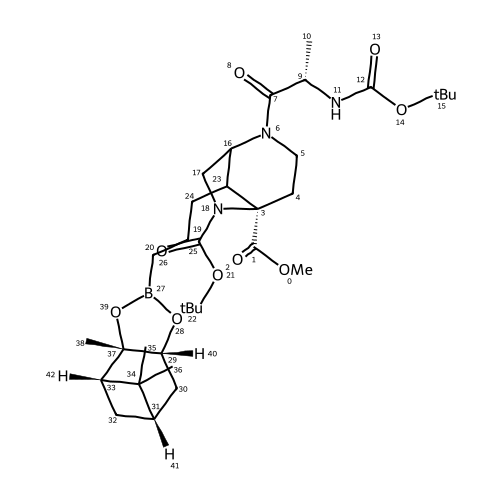 COC(=O)[C@]12CCN(C(=O)[C@H](C)NC(=O)OC(C)(C)C)C(CN1C(=O)OC(C)(C)C)C2CCCB1O[C@@H]2C[C@@H]3C[C@@H](C3(C)C)[C@]2(C)O1